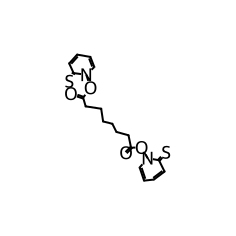 O=C(CCCCCCC(=O)On1ccccc1=S)On1ccccc1=S